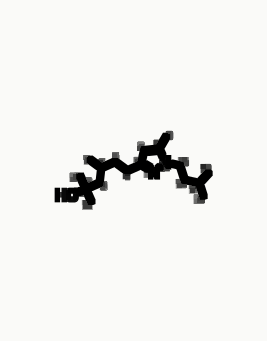 Cc1cc(CCC(C)CC(C)(C)O)nn1CCC(C)C